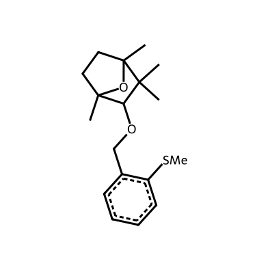 CSc1ccccc1COC1C2(C)CCC(C)(O2)C1(C)C